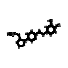 O=C(O)CC1CCCN1c1ccc(OCc2ccc(Cl)c(Cl)c2)cc1